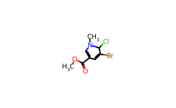 COC(=O)C1=CN(C)C(Cl)C(Br)=C1